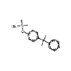 CC(C)(c1ccccc1)c1ccc(O[Si](C)(C)C(C)(C)C)cc1